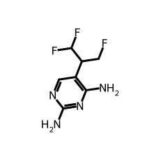 Nc1ncc(C(CF)C(F)F)c(N)n1